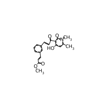 COC(=O)C=Cc1cccc(C=CC(=O)c2c(O)cc(C)n(C)c2=O)c1